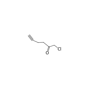 C#CCCC(=O)CCl